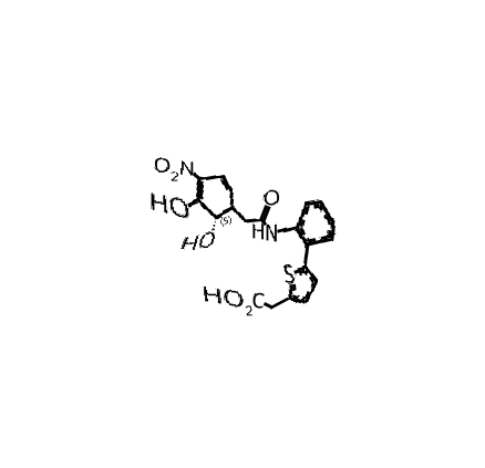 O=C(O)Cc1ccc(-c2ccccc2NC(=O)CC2C=CC([N+](=O)[O-])=C(O)[C@H]2O)s1